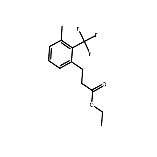 CCOC(=O)CCc1cccc(C)c1C(F)(F)F